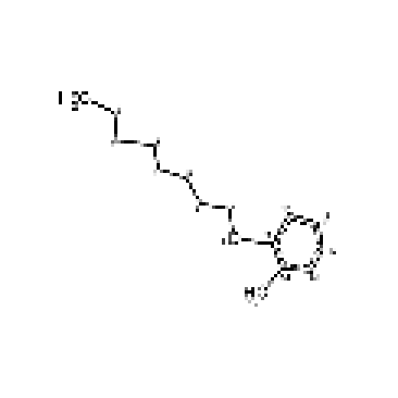 CCCCCCCCOc1c[c]ccc1O